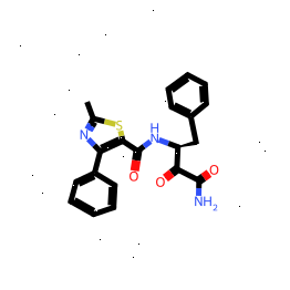 Cc1nc(-c2ccccc2)c(C(=O)N[C@@H](Cc2ccccc2)C(=O)C(N)=O)s1